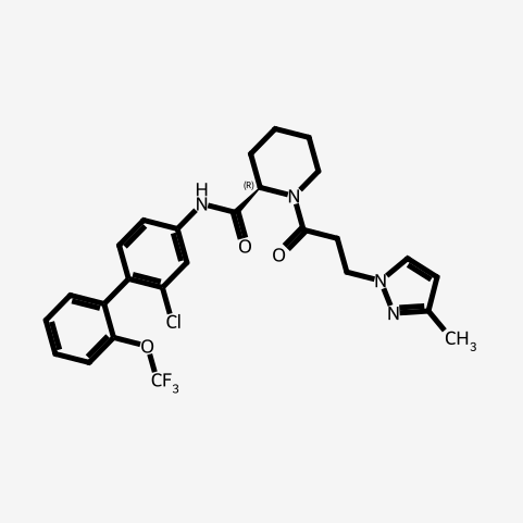 Cc1ccn(CCC(=O)N2CCCC[C@@H]2C(=O)Nc2ccc(-c3ccccc3OC(F)(F)F)c(Cl)c2)n1